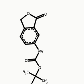 CC(C)(C)OC(=O)Nc1ccc2c(c1)C(=O)OC2